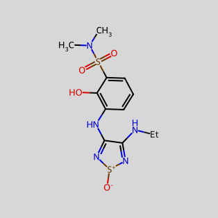 CCNc1n[s+]([O-])nc1Nc1cccc(S(=O)(=O)N(C)C)c1O